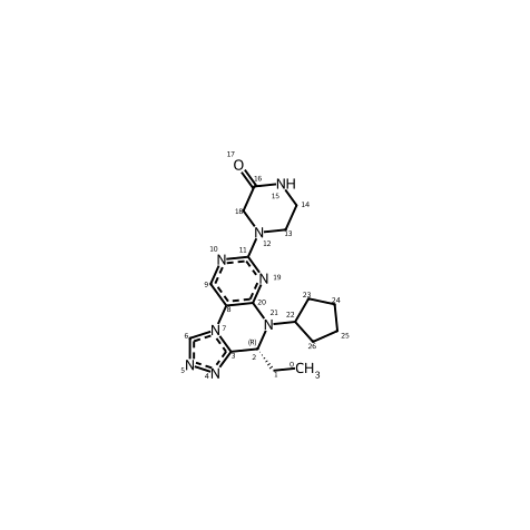 CC[C@@H]1c2nncn2-c2cnc(N3CCNC(=O)C3)nc2N1C1CCCC1